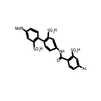 CNc1ccc(-c2ccc(NC(=O)c3ccc(C(C)=O)cc3S(=O)(=O)O)cc2S(=O)(=O)O)c(S(=O)(=O)O)c1